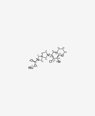 CC(C)(C)OC(=O)N1CC2(CCN(c3cc4c(c(Br)c3Cl)OCCC4)C2)C1